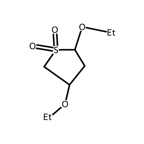 CCOC1CC(OCC)S(=O)(=O)C1